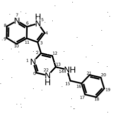 C1=NC(c2c[nH]c3ncccc23)=CC(NCc2ccccc2)N1